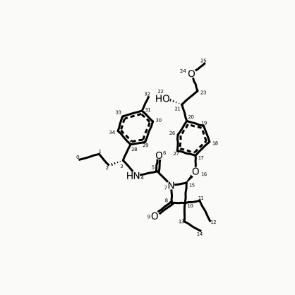 CCC[C@@H](NC(=O)N1C(=O)C(CC)(CC)[C@@H]1Oc1ccc([C@H](O)COC)cc1)c1ccc(C)cc1